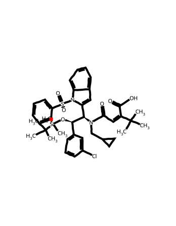 CC(C)(C)C(=CC(=O)N(CC1CC1)[C@H](c1cc2ccccc2n1S(=O)(=O)c1ccccc1)[C@H](O[Si](C)(C)C(C)(C)C)c1cccc(Cl)c1)C(=O)O